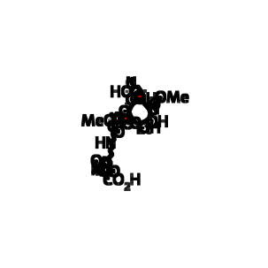 CC[C@H]1OC(=O)[C@H](C)[C@@H](O[C@H]2C[C@@](C)(OC)[C@@H](OC(=O)CCNCCCc3cc4c5c(c3)c(=O)c(C(=O)O)cn5N(C)CO4)[C@H](C)O2)[C@H](C)[C@@H](O[C@@H]2O[C@H](C)C[C@H](N(C)C)[C@H]2O)[C@](C)(O)C[C@@H](C)/C(=N\OCOC)[C@@H](C)[C@@H](O)[C@]1(C)O